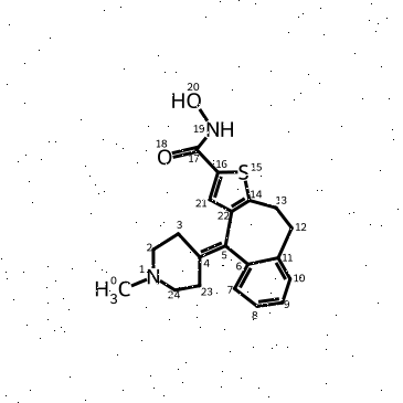 CN1CCC(=C2c3ccccc3CCc3sc(C(=O)NO)cc32)CC1